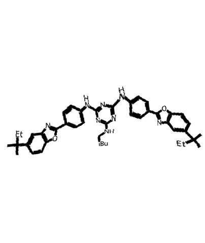 CCC(C)CNc1nc(Nc2ccc(-c3nc4cc(C(C)(C)CC)ccc4o3)cc2)nc(Nc2ccc(-c3nc4cc(C(C)(C)CC)ccc4o3)cc2)n1